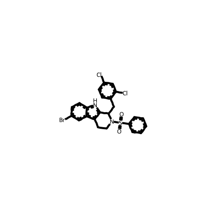 O=S(=O)(c1ccccc1)N1CCc2c([nH]c3ccc(Br)cc23)C1Cc1ccc(Cl)cc1Cl